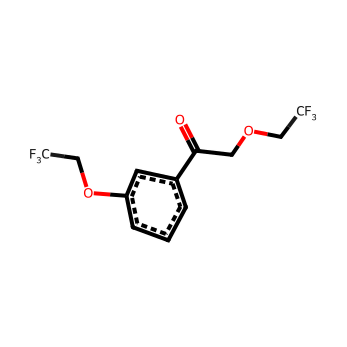 O=C(COCC(F)(F)F)c1cccc(OCC(F)(F)F)c1